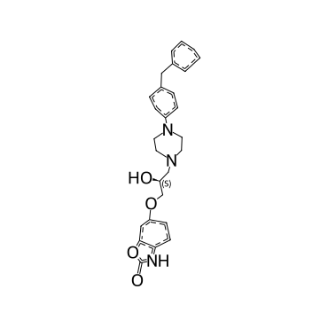 O=c1[nH]c2ccc(OC[C@@H](O)CN3CCN(c4ccc(Cc5ccccc5)cc4)CC3)cc2o1